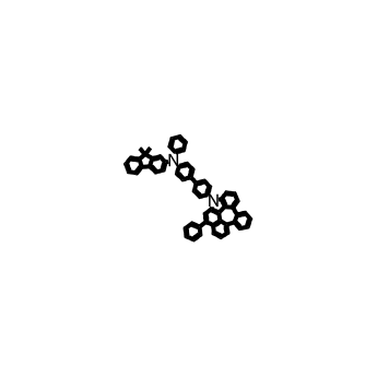 CC1(C)c2ccccc2-c2ccc(N(c3ccccc3)c3ccc(-c4ccc(-n5c6cccc7c6c6c8c(cccc8c(-c8ccccc8)cc65)-c5ccccc5-7)cc4)cc3)cc21